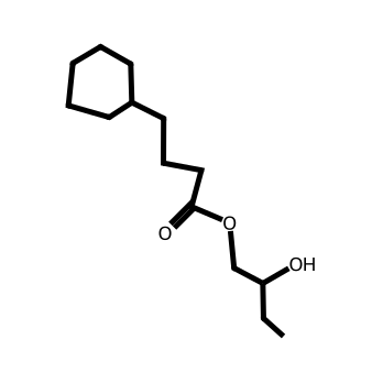 CCC(O)COC(=O)CCCC1CCCCC1